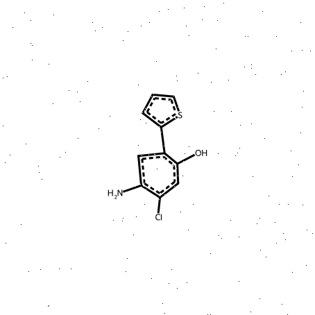 Nc1cc(-c2cccs2)c(O)cc1Cl